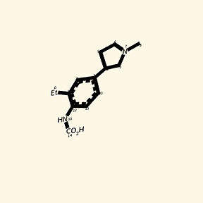 CCc1cc(C2CCN(C)C2)ccc1NC(=O)O